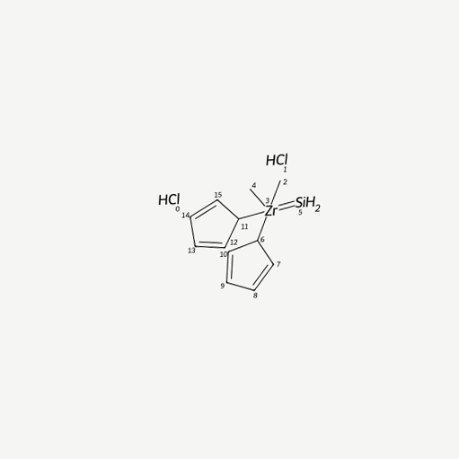 Cl.Cl.[CH3][Zr]([CH3])(=[SiH2])([CH]1C=CC=C1)[CH]1C=CC=C1